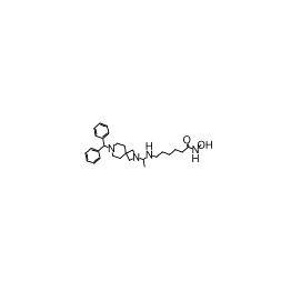 CC(NCCCCCC(=O)NO)N1CC2(CCN(C(c3ccccc3)c3ccccc3)CC2)C1